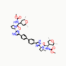 COC(=O)N[C@H](C(=O)N1[C@@H](C)CC[C@H]1c1nc(-c2ccc(-c3ccc(-c4c[nH]c([C@@H]5CC[C@H](C)N5C(=O)[C@@H](NC(=O)OC)C5C[C@@H](C)O[C@@H](C)C5)n4)cc3)cc2)c[nH]1)C1C[C@@H](C)O[C@@H](C)C1